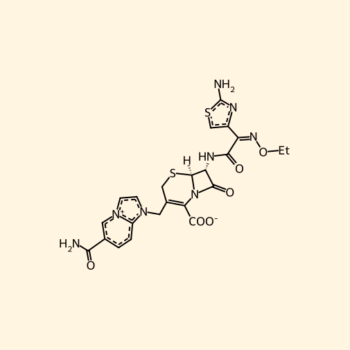 CCO/N=C(\C(=O)N[C@@H]1C(=O)N2C(C(=O)[O-])=C(Cn3cc[n+]4cc(C(N)=O)ccc34)CS[C@@H]12)c1csc(N)n1